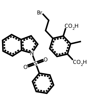 Cc1c(C(=O)O)ccc(CCBr)c1C(=O)O.O=S(=O)(c1ccccc1)n1ccc2ccccc21